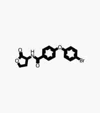 O=C(NC1CCOC1=O)c1ccc(Oc2ccc(Br)cc2)cc1